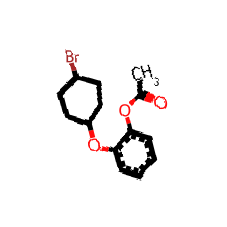 CC(=O)Oc1ccccc1OC1CCC(Br)CC1